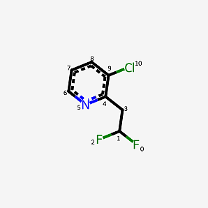 FC(F)Cc1ncccc1Cl